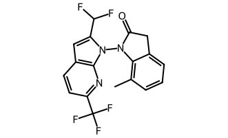 Cc1cccc2c1N(n1c(C(F)F)cc3ccc(C(F)(F)F)nc31)C(=O)C2